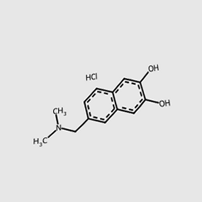 CN(C)Cc1ccc2cc(O)c(O)cc2c1.Cl